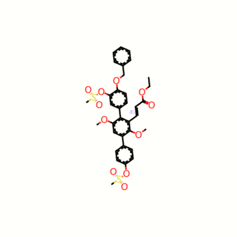 CCOC(=O)/C=C/c1c(OC)c(-c2ccc(OS(C)(=O)=O)cc2)cc(OC)c1-c1ccc(OCc2ccccc2)c(OS(C)(=O)=O)c1